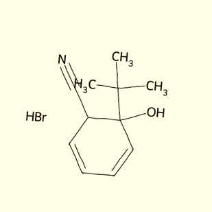 Br.CC(C)(C)C1(O)C=CC=CC1C#N